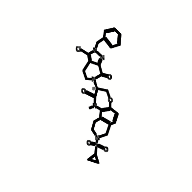 CN1C(=O)[C@@H](N2CCc3c(nn(Cc4ccccc4)c3Cl)C2=O)COc2ccc3c(c21)CCN(S(=O)(=O)C1CC1)C3